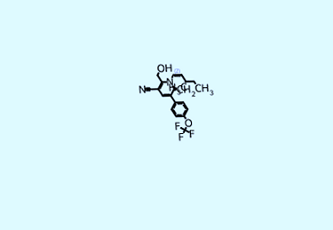 C=C1C(c2ccc(OC(F)(F)F)cc2)=CC(C#N)=C(CO)N1/C=C\C(C)CC